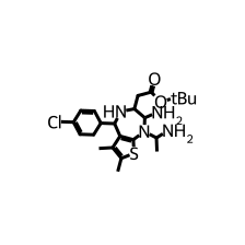 Cc1sc2c(c1C)C(C1C=CC(Cl)=CC1)NC(CC(=O)OC(C)(C)C)C(N)N2C(C)N